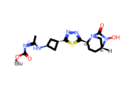 C/C(=N/C(=O)OC(C)(C)C)N[C@H]1C[C@H](c2nnc([C@@H]3CC[C@@H]4CN3C(=O)N4O)s2)C1